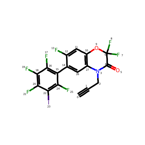 C#CCN1C(=O)C(F)(F)Oc2cc(F)c(-c3c(F)c(F)c(F)c(I)c3F)cc21